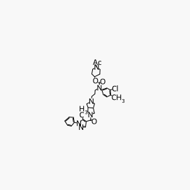 CC(=O)N1CCC(OC(=O)N(CCCN2CC3CN(C(=O)c4cnn(-c5ccccc5)c4C)CC3C2)c2ccc(C)c(Cl)c2)CC1